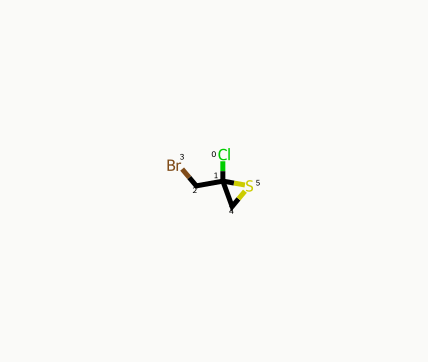 ClC1(CBr)CS1